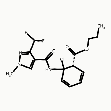 CCCOC(=O)[C@@H]1C=CC=CC1(Cl)NC(=O)c1cn(C)nc1C(F)F